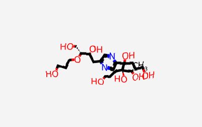 C[C@H](O)[C@](O)(CCCO)C(O)(CCCO)c1cnc(C[C@H](O)[C@@H](CO)OCCCO)cn1